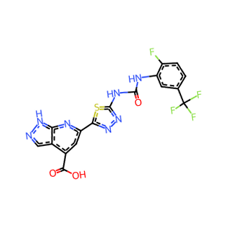 O=C(Nc1nnc(-c2cc(C(=O)O)c3cn[nH]c3n2)s1)Nc1cc(C(F)(F)F)ccc1F